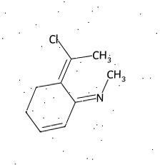 C/N=C1/C=CCC/C1=C(/C)Cl